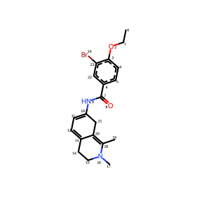 CCOc1ccc(C(=O)NC2=CC=C3CCN(C)C(C)=C3C2)cc1Br